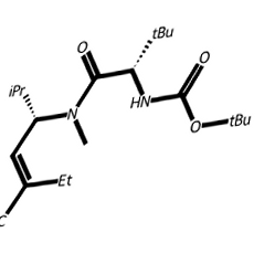 CC/C(=C\[C@H](C(C)C)N(C)C(=O)[C@@H](NC(=O)OC(C)(C)C)C(C)(C)C)C(=O)O